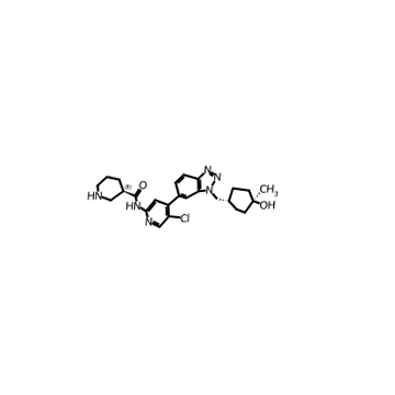 C[C@]1(O)CC[C@H](Cn2nnc3ccc(-c4cc(NC(=O)[C@@H]5CCCNC5)ncc4Cl)cc32)CC1